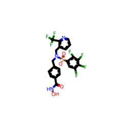 O=C(NO)c1ccc(CN(Cc2cccnc2C(F)(F)F)S(=O)(=O)c2cc(F)c(F)c(F)c2F)cc1